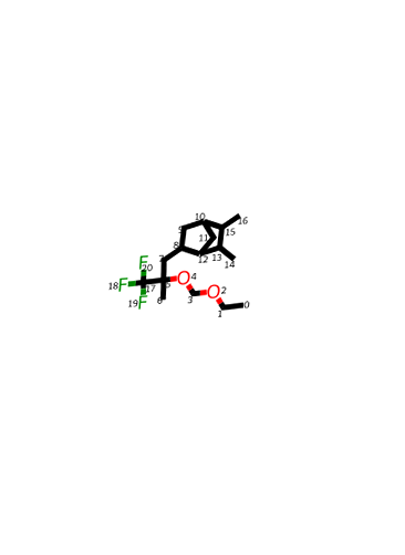 CCOCOC(C)(CC1CC2CC1C(C)C2C)C(F)(F)F